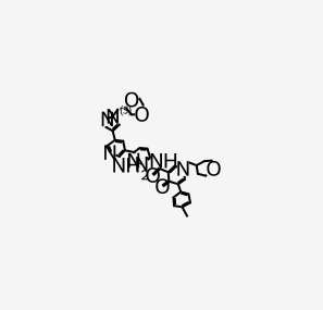 Cc1ccc(-c2cn(CC3CCOCC3)cc(C(=O)Nc3ccc(-c4cc(-c5cnn(C[C@H]6COCCO6)c5)cnc4N)nn3)c2=O)cc1